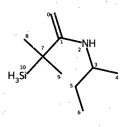 C=C(NC(C)CC)C(C)(C)[SiH3]